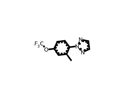 Cc1cc(OC(F)(F)F)ccc1-n1nccn1